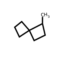 CC1CCC12CCC2